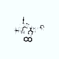 CC#CC(=O)N1CCN(c2nc(OC[C@@H]3CCCN3C)nc3c2CCN(c2cccc4ccccc24)C3)CC1CC#N.O=C(O)C(F)(F)F